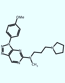 COc1ccc(-n2nnc3cnc(N(C)CCCN4CCCC4)nc32)cc1